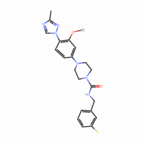 CCOc1cc(N2CCN(C(=O)NCc3cccc(F)c3)CC2)ccc1-n1cnc(C)n1